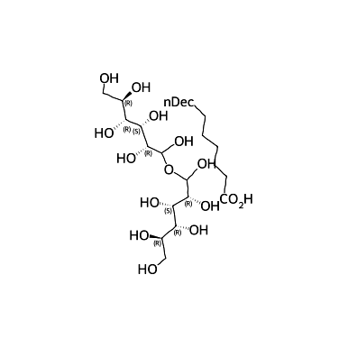 CCCCCCCCCCCCCCCC(=O)O.OC[C@@H](O)[C@@H](O)[C@H](O)[C@@H](O)C(O)OC(O)[C@H](O)[C@@H](O)[C@H](O)[C@H](O)CO